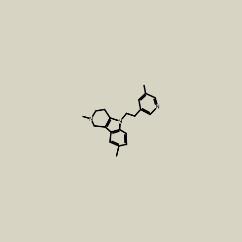 Cc1cncc(CCn2c3c(c4cc(C)ccc42)CN(C)CC3)c1